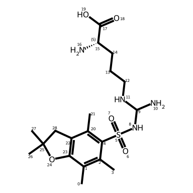 Cc1c(C)c(S(=O)(=O)NC(N)NCCC[C@H](N)C(=O)O)c(C)c2c1OC(C)(C)C2